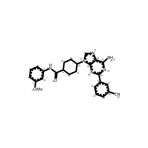 COc1cccc(NC(=O)C2CCC(n3cnc4c(N)nc(-c5cccc(C#N)c5)nc43)CC2)c1